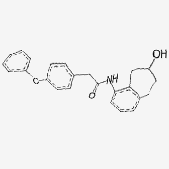 O=C(Cc1ccc(Oc2ccccc2)cc1)Nc1cccc2c1CC(O)CC2